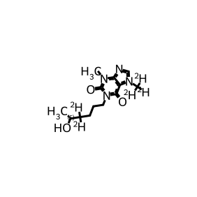 [2H]C([2H])(CCCn1c(=O)c2c(ncn2C([2H])([2H])[2H])n(C)c1=O)[C@H](C)O